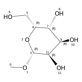 CO[C@@H]1O[C@H](CO)[C@H](O)[C@@H](O)[C@H]1O